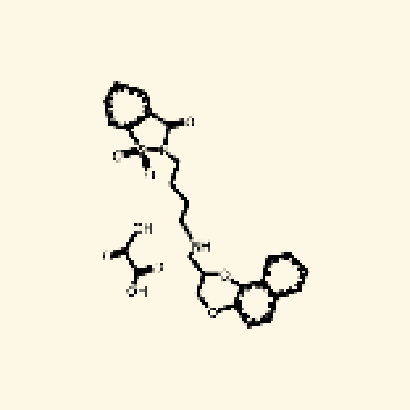 O=C(O)C(=O)O.O=C1c2ccccc2S(=O)(=O)N1CCCCNCC1COc2ccc3ccccc3c2O1